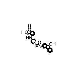 O=C(CN1CCC(Nc2cccc(O)c2CO)CC1)Nc1ccc2c(c1)-c1ccccc1C2O